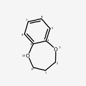 [C]1CCOc2ccccc2O1